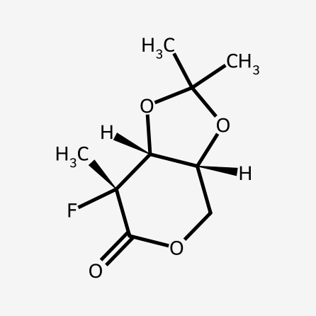 CC1(C)O[C@@H]2[C@@H](COC(=O)[C@]2(C)F)O1